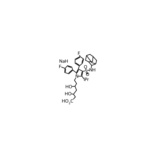 CC(C)c1c(S(=O)(=O)NC2C3CC4CC(C3)CC2C4)c(-c2ccc(F)cc2)c(-c2ccc(F)cc2)n1CCC(O)CC(O)CC(=O)O.[NaH]